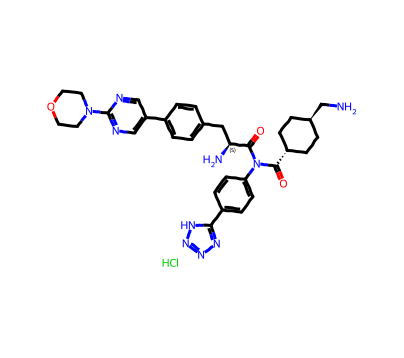 Cl.NC[C@H]1CC[C@H](C(=O)N(C(=O)[C@@H](N)Cc2ccc(-c3cnc(N4CCOCC4)nc3)cc2)c2ccc(-c3nnn[nH]3)cc2)CC1